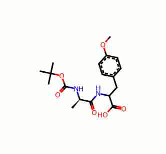 COc1ccc(CC(NC(=O)[C@@H](C)NC(=O)OC(C)(C)C)C(=O)O)cc1